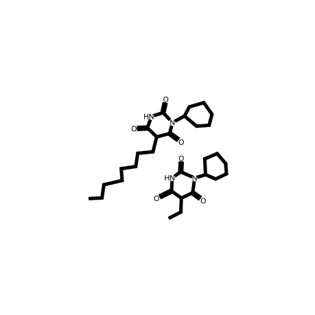 CCC1C(=O)NC(=O)N(C2CCCCC2)C1=O.CCCCCCCCC1C(=O)NC(=O)N(C2CCCCC2)C1=O